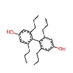 CCCc1cc(O)cc(CCC)c1-c1c(CCC)cc(O)cc1CCC